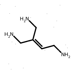 NCC=C(CN)CN